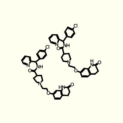 O=C1CCc2ccc(OCCN3CCC(C(=O)NC(c4ccc(Cl)cc4)c4ccccn4)CC3)cc2N1.O=C1CCc2ccc(OCCN3CCC(C(=O)NC(c4ccc(Cl)cc4)c4ccccn4)CC3)cc2N1